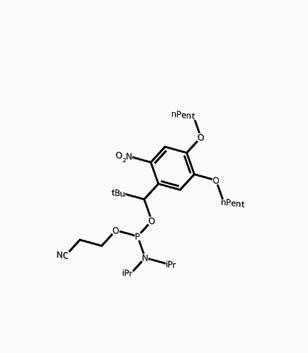 CCCCCOc1cc(C(OP(OCCC#N)N(C(C)C)C(C)C)C(C)(C)C)c([N+](=O)[O-])cc1OCCCCC